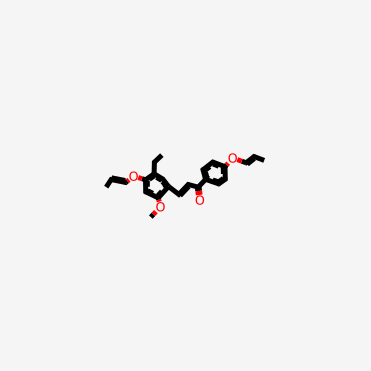 CC=COc1ccc(C(=O)C=Cc2cc(CC)c(OC=CC)cc2OC)cc1